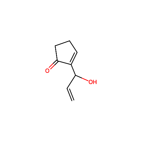 C=CC(O)C1=CCCC1=O